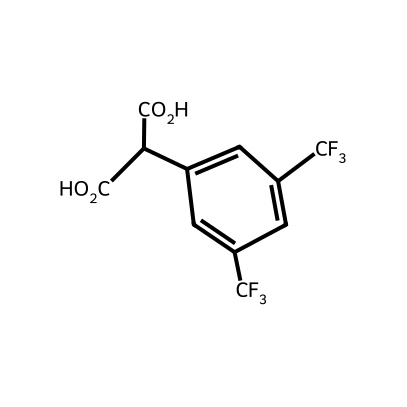 O=C(O)C(C(=O)O)c1cc(C(F)(F)F)cc(C(F)(F)F)c1